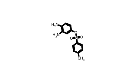 Cc1ccc(S(=O)(=O)Oc2ccc(N)c(N)c2)cc1